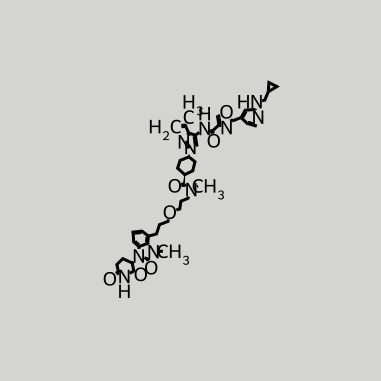 C=C(C)c1nn([C@H]2CC[C@H](C(=O)N(C)CCCOCCCc3cccc4c3n(C)c(=O)n4C3CCC(=O)NC3=O)CC2)cc1NC(=O)c1coc(-c2ccnc(NCC3CC3)c2)n1